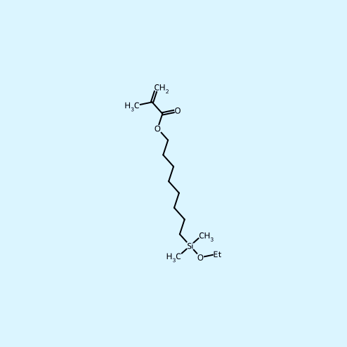 C=C(C)C(=O)OCCCCCCCC[Si](C)(C)OCC